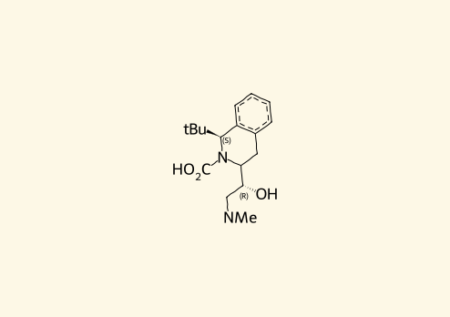 CNC[C@@H](O)C1Cc2ccccc2[C@H](C(C)(C)C)N1C(=O)O